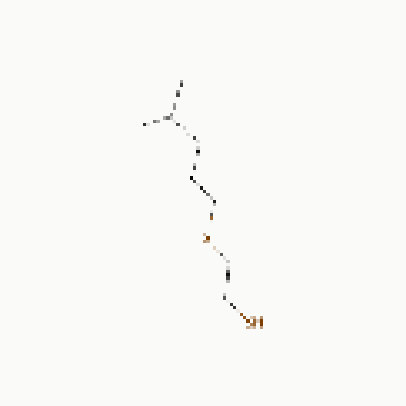 CC(C)CCCSCCS